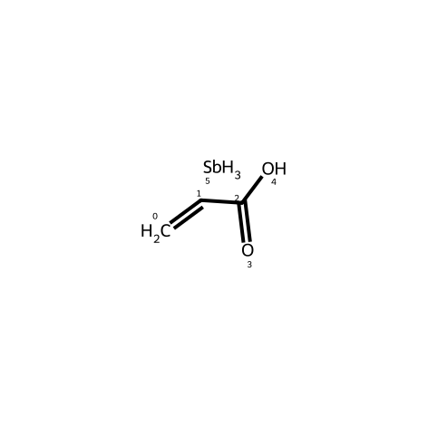 C=CC(=O)O.[SbH3]